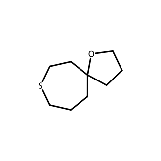 C1COC2(C1)CCCSCC2